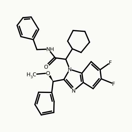 CO[C@H](c1ccccc1)c1nc2cc(F)c(F)cc2n1C(C(=O)NCc1ccccc1)C1CCCCC1